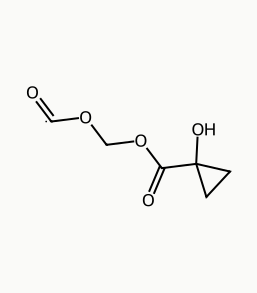 O=[C]OCOC(=O)C1(O)CC1